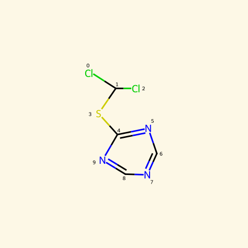 ClC(Cl)Sc1ncncn1